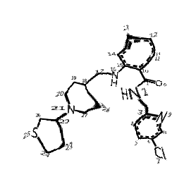 O=C(Nc1ccc(Cl)cn1)c1ccccc1NCC1CCN(C2CCSC2)CC1